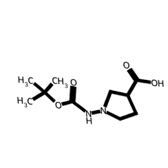 CC(C)(C)OC(=O)NN1CCC(C(=O)O)C1